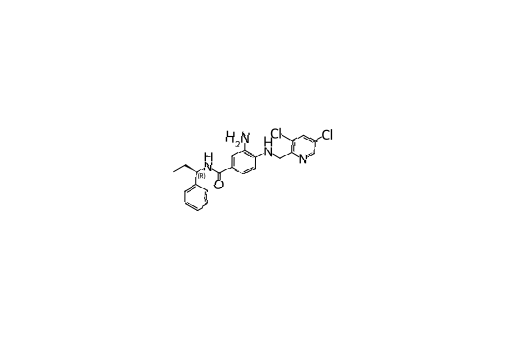 CC[C@@H](NC(=O)c1ccc(NCc2ncc(Cl)cc2Cl)c(N)c1)c1ccccc1